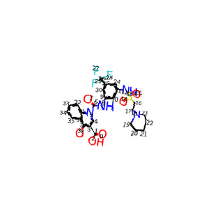 O=C(O)c1cn(C(=O)Nc2cc(NS(=O)(=O)CCN3CCCCC3)cc(C(F)(F)F)c2)c2ccccc2c1=O